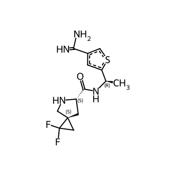 C[C@@H](NC(=O)[C@@H]1C[C@@]2(CN1)CC2(F)F)c1cc(C(=N)N)cs1